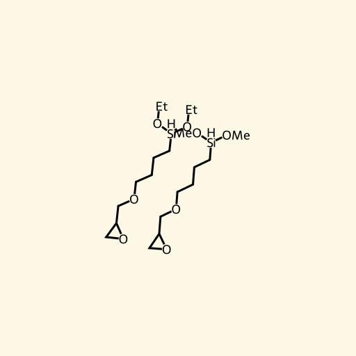 CCO[SiH](CCCCOCC1CO1)OCC.CO[SiH](CCCCOCC1CO1)OC